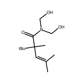 CC(C)=CC(C)(C(=O)N(CO)CO)C(C)(C)C